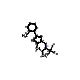 C=C/C(=C\c1nc(-c2ccccc2C)[nH]c1C)C(F)(F)F